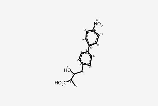 CC(C(=O)O)C(O)Cc1ccc(-c2ccc([N+](=O)[O-])cc2)cc1